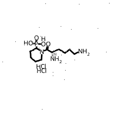 Cl.Cl.NCCCC[C@H](N)C(=O)N1CCCCC1P(=O)(O)O